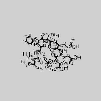 CC(C)[C@H](N)C(=O)N[C@@H](CCC(=O)O)C(=O)N[C@@H](Cc1ccccc1)C(=O)N[C@@H](CS)C(=O)N[C@@H](CCC(=O)O)C(=O)N[C@@H](CCC(=O)O)C(=O)N[C@@H](CO)C(=O)O